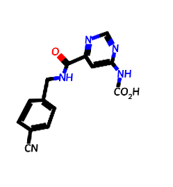 N#Cc1ccc(CNC(=O)c2cc(NC(=O)O)ncn2)cc1